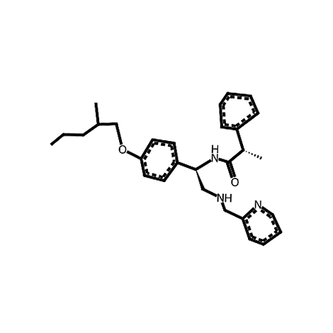 CCCC(C)COc1ccc([C@H](CNCc2ccccn2)NC(=O)[C@@H](C)c2ccccc2)cc1